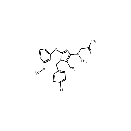 CN(CC(N)=O)c1nc(Oc2cccc(OC(F)(F)F)c2)n(Cc2ccc(Cl)cc2)c1C(=O)O